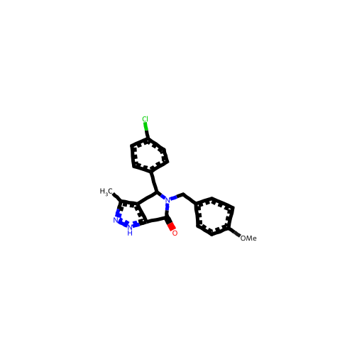 COc1ccc(CN2C(=O)c3[nH]nc(C)c3C2c2ccc(Cl)cc2)cc1